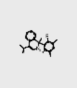 Cc1cc(C)c(F)c(C2(C)c3ccccc3C(C(C)C)=CN2C)c1C